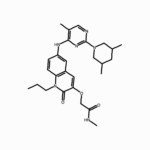 CCCn1c(=O)c(OCC(=O)NC)cc2cc(Nc3nc(N4CC(C)CC(C)C4)ncc3C)ccc21